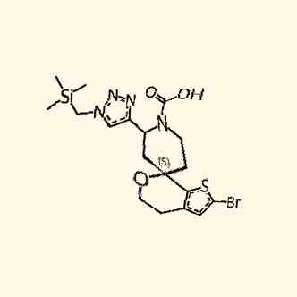 C[Si](C)(C)Cn1cc(C2C[C@]3(CCN2C(=O)O)OCCc2cc(Br)sc23)nn1